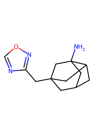 NC12CC3CC1CC(Cc1ncon1)(C3)C2